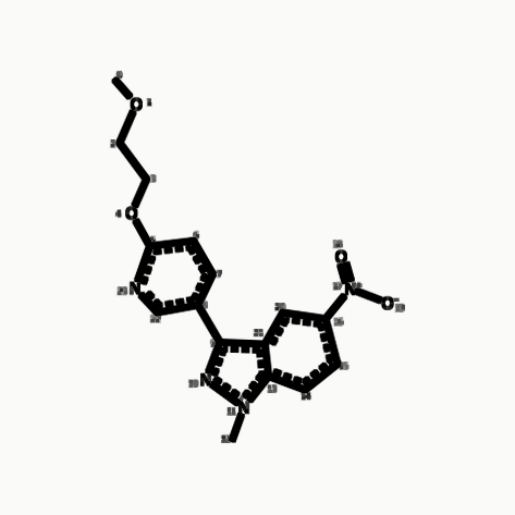 COCCOc1ccc(-c2nn(C)c3ccc([N+](=O)[O-])cc23)cn1